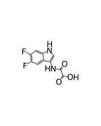 O=C(O)C(=O)Nc1c[nH]c2cc(F)c(F)cc12